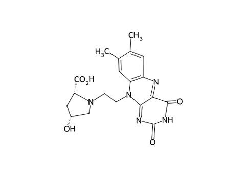 Cc1cc2nc3c(=O)[nH]c(=O)nc-3n(CCN3C[C@H](O)C[C@@H]3C(=O)O)c2cc1C